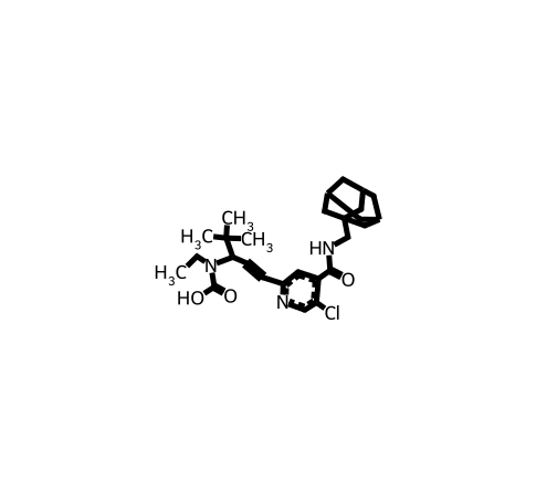 CCN(C(=O)O)C(C#Cc1cc(C(=O)NCC23CC4CC(CC(C4)C2)C3)c(Cl)cn1)C(C)(C)C